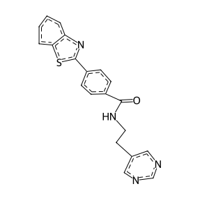 O=C(NCCc1cncnc1)c1ccc(-c2nc3ccccc3s2)cc1